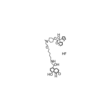 CN(CCOCCCCCCNC[C@H](O)c1ccc(O)c2[nH]c(=O)ccc12)[C@H]1CC[C@H](OC(=O)C(O)(c2cccs2)c2cccs2)CC1.F